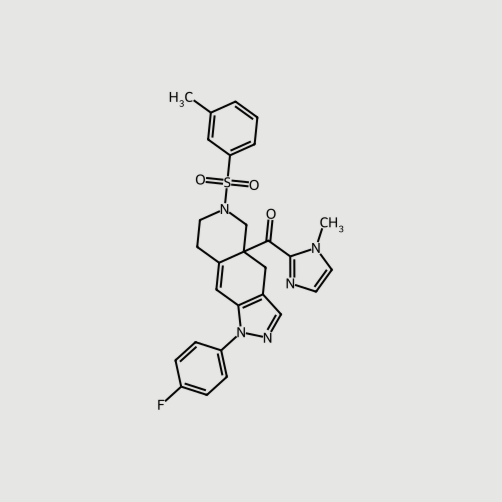 Cc1cccc(S(=O)(=O)N2CCC3=Cc4c(cnn4-c4ccc(F)cc4)CC3(C(=O)c3nccn3C)C2)c1